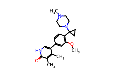 COc1cc(-c2c[nH]c(=O)c(C)c2C)ccc1C1(N2CCN(C)CC2)CC1